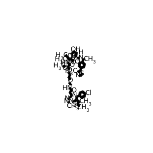 COC(OCCCOCCNC(=O)CC1N=C(c2ccc(Cl)cc2)c2c(sc(C)c2C)-n2c(C)nnc21)C(=O)N[C@H](C(=O)N1C[C@H](O)C[C@H]1C(=O)N[C@@H](C)c1ccc(-c2scnc2C)cc1)C(C)(C)C